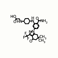 CC1(C)CC(=O)c2c(C(F)(F)F)nn(-c3ccc(C(N)=O)c(NC4CCC(NCC(=O)O)CC4)c3)c2C1